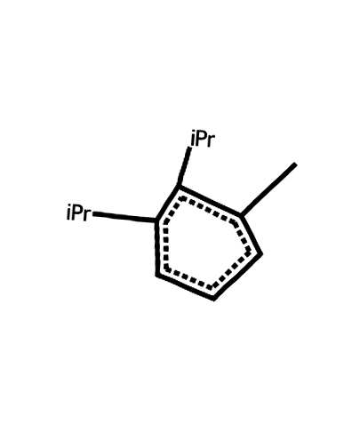 Cc1cccc(C(C)C)c1C(C)C